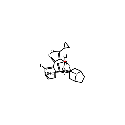 O=Cc1cc(Cl)nc(N2C3CCC2CC(OCc2c(-c4c(F)cccc4F)noc2C2CC2)C3)n1